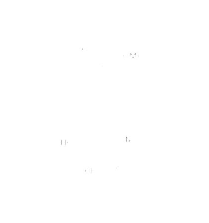 COC(=O)C1CCC(C(O)(c2nccs2)C(F)(F)F)CC1